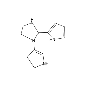 C1=C(N2CCN[C]2c2ccc[nH]2)CCN1